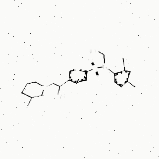 Cc1ccc(N(CC(C)C)S(=O)(=O)c2ccc(C(O)CN3CCCC(F)C3)cc2)c(C)c1